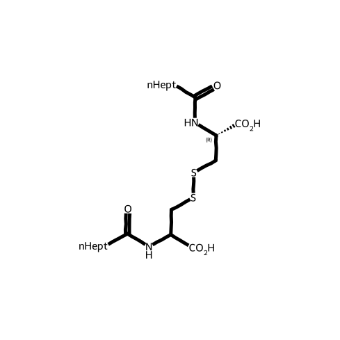 CCCCCCCC(=O)NC(CSSC[C@H](NC(=O)CCCCCCC)C(=O)O)C(=O)O